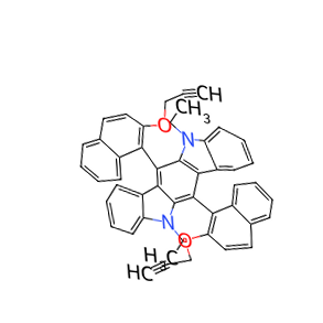 C#CCOc1ccc2ccccc2c1-c1c2c3ccccc3n(CC)c2c(-c2c(OCC#C)ccc3ccccc23)c2c3ccccc3n(CC)c12